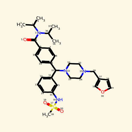 CC(C)N(C(=O)c1ccc(C(c2cccc(NS(C)(=O)=O)c2)N2CCN(Cc3ccoc3)CC2)cc1)C(C)C